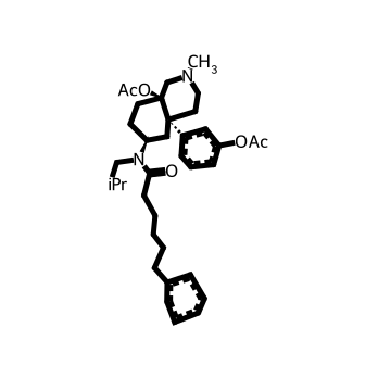 CC(=O)Oc1cccc([C@@]23CCN(C)C[C@@]2(OC(C)=O)CC[C@H](N(CC(C)C)C(=O)CCCCCc2ccccc2)C3)c1